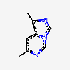 Cc1cc2c(C)ncn2cn1